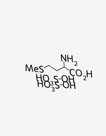 CSCCC(N)C(=O)O.O=S(=O)(O)O.O=S(=O)(O)O